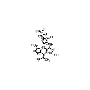 C=C(C)[C@@H](NC(=N)/C(=N\OO)Nc1csc(S(=O)(=O)N(CC)CC)c1O)c1ccc(C)s1